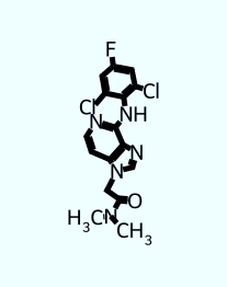 CN(C)C(=O)Cn1cnc2c(Nc3c(Cl)cc(F)cc3Cl)nccc21